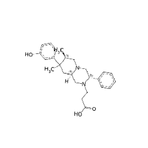 C[C@H]1CN2C[C@H](c3ccccc3)N(CCC(=O)O)C[C@H]2CC1(C)c1cccc(O)c1